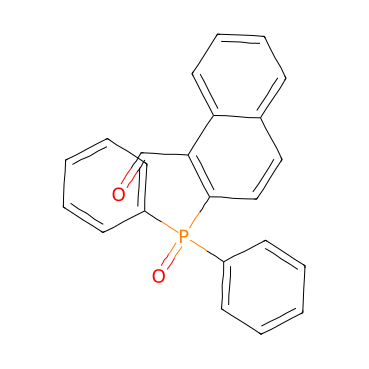 O=Cc1c(P(=O)(c2ccccc2)c2ccccc2)ccc2ccccc12